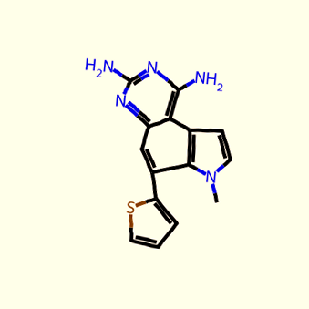 Cn1ccc2c3c(N)nc(N)nc3cc(-c3cccs3)c21